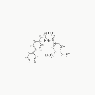 CCOC(=O)C(CCC(C)C)CN(CC(C)C)C(=O)N[C@@H](Cc1ccc(-c2ccccc2)cc1)C(=O)O